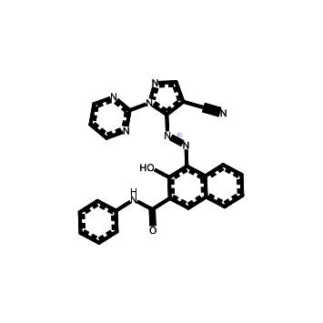 N#Cc1cnn(-c2ncccn2)c1/N=N/c1c(O)c(C(=O)Nc2ccccc2)cc2ccccc12